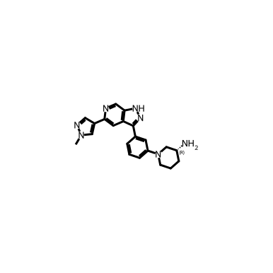 Cn1cc(-c2cc3c(-c4cccc(N5CCC[C@@H](N)C5)c4)n[nH]c3cn2)cn1